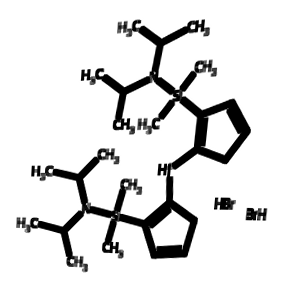 Br.Br.CC(C)N(C(C)C)[Si](C)(C)C1=[C]([Hf][C]2=C([Si](C)(C)N(C(C)C)C(C)C)C=CC2)CC=C1